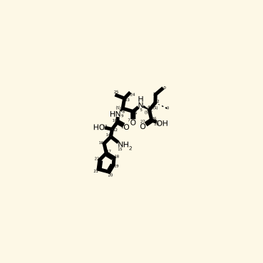 CC[C@H](C)[C@H](NC(=O)[C@@H](NC(=O)C(O)C(N)Cc1ccccc1)C(C)C)C(=O)O